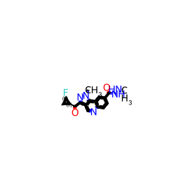 CNNC(=O)c1ccc2ncc3c(C(=O)[C@H]4C[C@H]4F)nn(C)c3c2c1